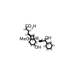 CO[C@@]12CC[C@H](O)[C@@H](C#CC(O)C3CCCCC3)[C@@H]1CC2=CCCC(=O)O